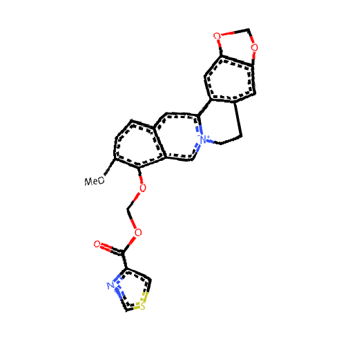 COc1ccc2cc3[n+](cc2c1OCOC(=O)c1cscn1)CCc1cc2c(cc1-3)OCO2